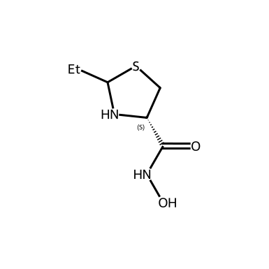 CCC1N[C@@H](C(=O)NO)CS1